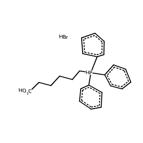 Br.O=C(O)CCCCC[PH](c1ccccc1)(c1ccccc1)c1ccccc1